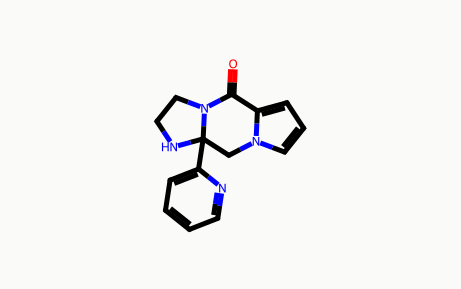 O=C1c2cccn2CC2(c3ccccn3)NCCN12